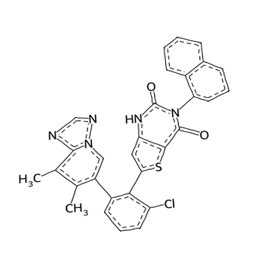 Cc1c(-c2cccc(Cl)c2-c2cc3[nH]c(=O)n(-c4cccc5ccccc45)c(=O)c3s2)cn2ncnc2c1C